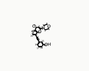 O=c1cc(N2CCOCC2)oc2c(C#Cc3cccc(O)c3)csc12